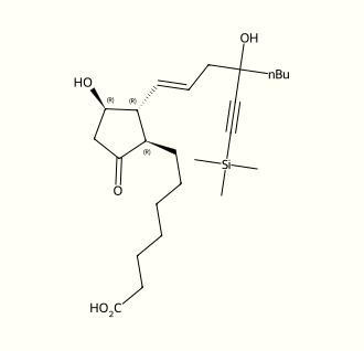 CCCCC(O)(C#C[Si](C)(C)C)CC=C[C@H]1[C@H](O)CC(=O)[C@@H]1CCCCCCC(=O)O